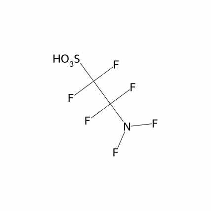 O=S(=O)(O)C(F)(F)C(F)(F)N(F)F